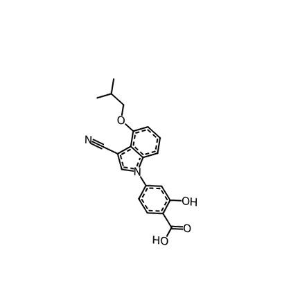 CC(C)COc1cccc2c1c(C#N)cn2-c1ccc(C(=O)O)c(O)c1